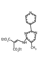 CCOC(=O)C(=CNc1nc(-c2ccncc2)ncc1C)C(=O)OCC